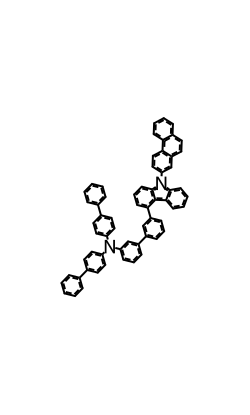 c1ccc(-c2ccc(N(c3ccc(-c4ccccc4)cc3)c3cccc(-c4cccc(-c5cccc6c5c5ccccc5n6-c5ccc6c(ccc7ccccc76)c5)c4)c3)cc2)cc1